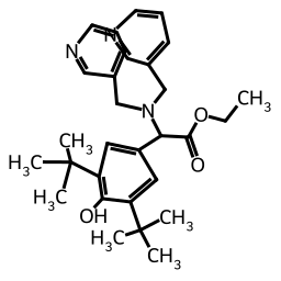 CCOC(=O)C(c1cc(C(C)(C)C)c(O)c(C(C)(C)C)c1)N(Cc1cccnc1)Cc1cccnc1